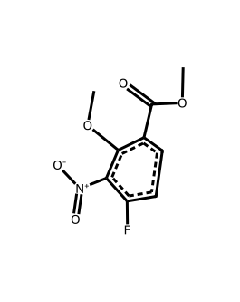 COC(=O)c1ccc(F)c([N+](=O)[O-])c1OC